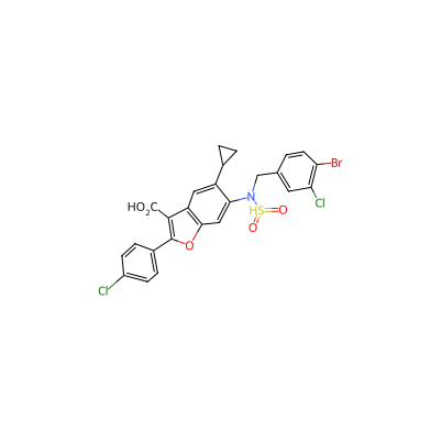 O=C(O)c1c(-c2ccc(Cl)cc2)oc2cc(N(Cc3ccc(Br)c(Cl)c3)[SH](=O)=O)c(C3CC3)cc12